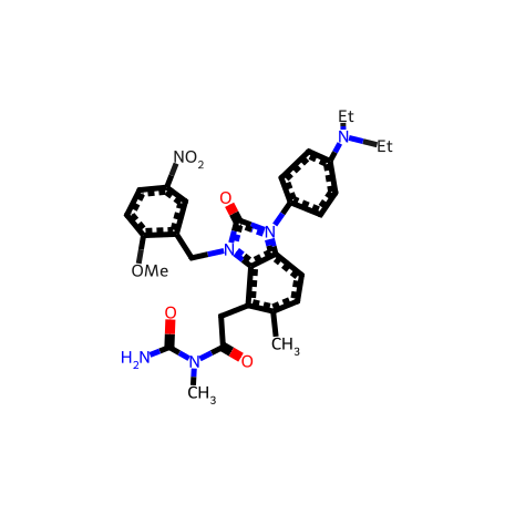 CCN(CC)c1ccc(-n2c(=O)n(Cc3cc([N+](=O)[O-])ccc3OC)c3c(CC(=O)N(C)C(N)=O)c(C)ccc32)cc1